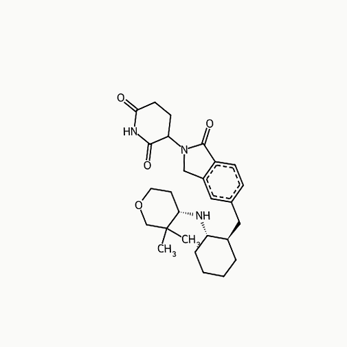 CC1(C)COCC[C@@H]1N[C@H]1CCCC[C@@H]1Cc1ccc2c(c1)CN(C1CCC(=O)NC1=O)C2=O